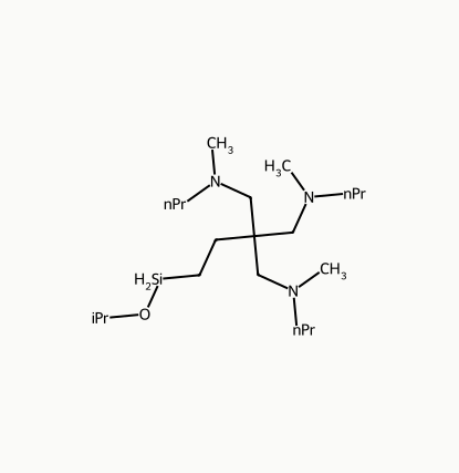 CCCN(C)CC(CC[SiH2]OC(C)C)(CN(C)CCC)CN(C)CCC